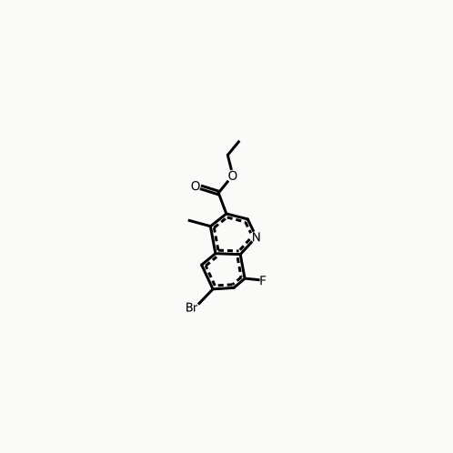 CCOC(=O)c1cnc2c(F)cc(Br)cc2c1C